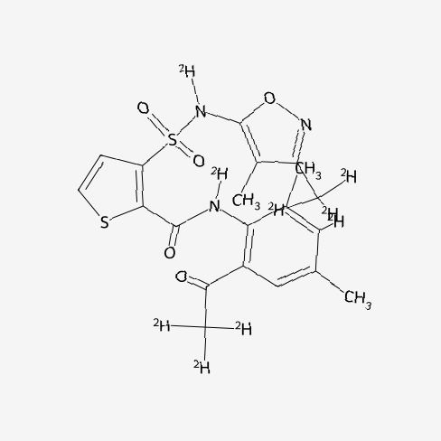 [2H]c1c(C)cc(C(=O)C([2H])([2H])[2H])c(N([2H])C(=O)c2sccc2S(=O)(=O)N([2H])c2onc(C([2H])([2H])[2H])c2C)c1C